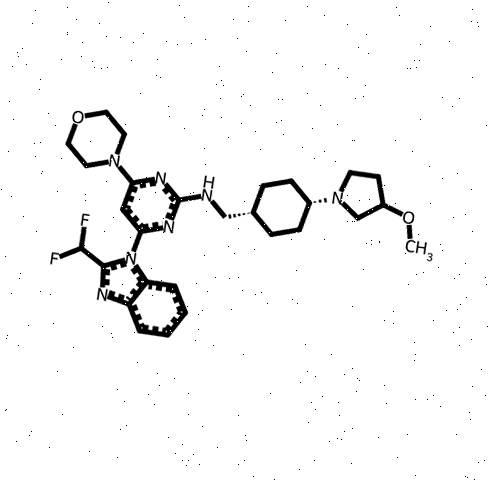 COC1CCN([C@H]2CC[C@@H](CNc3nc(N4CCOCC4)cc(-n4c(C(F)F)nc5ccccc54)n3)CC2)C1